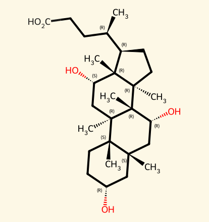 C[C@H](CCC(=O)O)[C@H]1CC[C@]2(C)[C@]1(C)[C@@H](O)C[C@]1(C)[C@@]3(C)CC[C@@H](O)C[C@@]3(C)C[C@@H](O)[C@@]21C